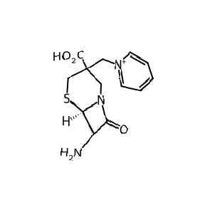 NC1C(=O)N2CC(C[n+]3ccccc3)(C(=O)O)CS[C@H]12